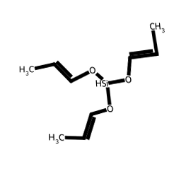 CC=CO[SiH](OC=CC)OC=CC